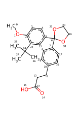 COc1ccc(C2(c3ccc(CCC(=O)O)cc3)OCCO2)cc1C(C)(C)C